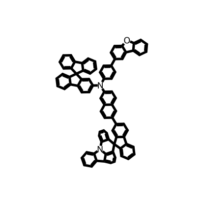 c1ccc2c(c1)-c1ccccc1C21c2ccccc2-c2ccc(N(c3ccc(-c4ccc5oc6ccccc6c5c4)cc3)c3ccc4cc(-c5ccc6c(c5)C5(c7ccccc7-6)c6ccccc6-n6c7ccccc7c7cccc5c76)ccc4c3)cc21